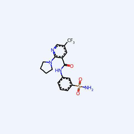 NS(=O)(=O)c1cccc(NC(=O)c2cc(C(F)(F)F)cnc2N2CCCC2)c1